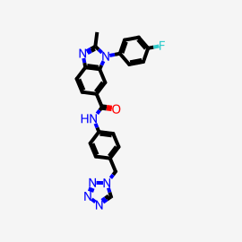 Cc1nc2ccc(C(=O)Nc3ccc(Cn4cnnn4)cc3)cc2n1-c1ccc(F)cc1